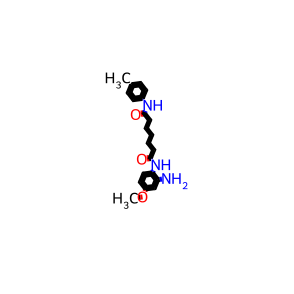 COc1ccc(NC(=O)CCCCCC(=O)Nc2ccc(C)cc2)c(N)c1